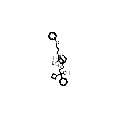 OC(CO[C@@H]1C2CC[N+](CCCOc3ccccc3)(CC2)[C@H]1Br)(c1ccccc1)C1CCC1